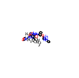 COc1c(NC(=O)Nc2ccc(Oc3ccnc(Nc4ccccc4)n3)c3ccccc23)cc(C(C)(C)C)cc1C(=O)NCCN1CCOCC1